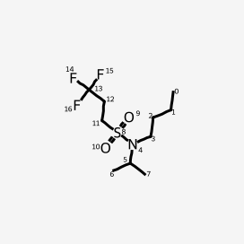 CCCCN(C(C)C)S(=O)(=O)CCC(F)(F)F